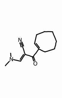 CN(C)/C=C(\C#N)C(=O)/C1=C/CCCCCC1